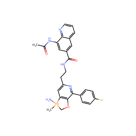 CC(=O)Nc1cc(C(=O)NCCc2cc3c(c(-c4ccc(F)cc4)n2)OC[PH]3(C)N)cc2cccnc12